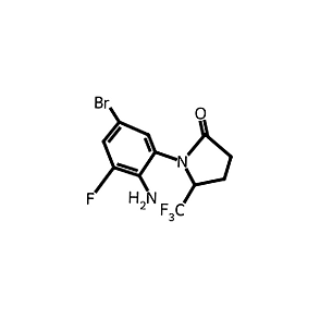 Nc1c(F)cc(Br)cc1N1C(=O)CCC1C(F)(F)F